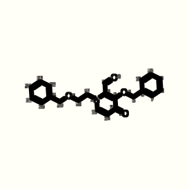 O=Cc1c(OCc2ccccc2)c(=O)ccn1CCOCc1ccccc1